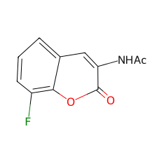 CC(=O)Nc1cc2cccc(F)c2oc1=O